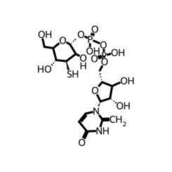 C=C1NC(=O)C=CN1[C@@H]1O[C@H](COP(=O)(O)OP(=O)(O)O[C@H]2OC(CO)[C@@H](O)[C@H](S)C2O)C(O)[C@@H]1O